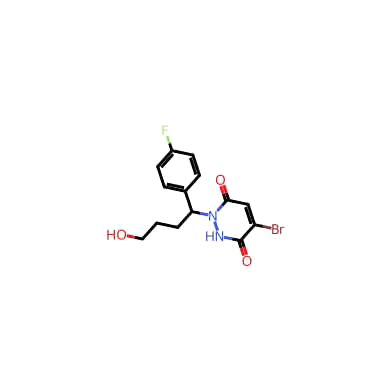 O=c1[nH]n(C(CCCO)c2ccc(F)cc2)c(=O)cc1Br